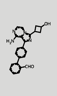 Nc1nccn2c(C3CC(O)C3)nc(-c3ccc(-c4ccccc4C=O)cc3)c12